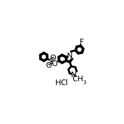 CN1CCC(c2cn(Cc3cccc(F)c3)c3ccc(OS(=O)(=O)c4ccccc4)cc23)CC1.Cl